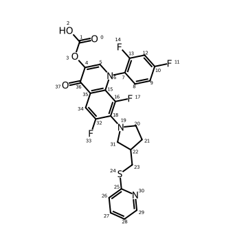 O=C(O)Oc1cn(-c2ccc(F)cc2F)c2c(F)c(N3CCC(CSc4ccccn4)C3)c(F)cc2c1=O